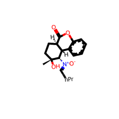 CCC/C=[N+](\[O-])[C@H]1[C@@H]2c3ccccc3OC(=O)[C@@H]2CC[C@@]1(C)O